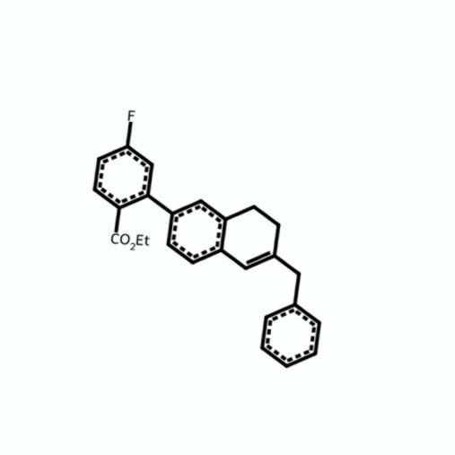 CCOC(=O)c1ccc(F)cc1-c1ccc2c(c1)CCC(Cc1ccccc1)=C2